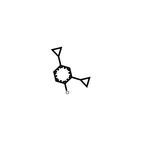 Clc1ccc(C2CC2)cc1C1CC1